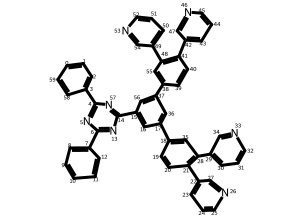 c1ccc(-c2nc(-c3ccccc3)nc(-c3cc(-c4ccc(-c5cccnc5)c(-c5cccnc5)c4)cc(-c4ccc(-c5cccnc5)c(-c5cccnc5)c4)c3)n2)cc1